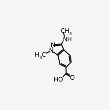 CNc1nn(C)c2cc(C(=O)O)ccc12